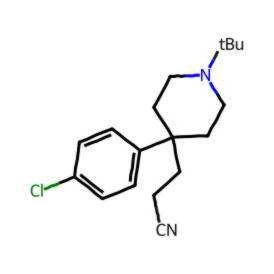 CC(C)(C)N1CCC(CCC#N)(c2ccc(Cl)cc2)CC1